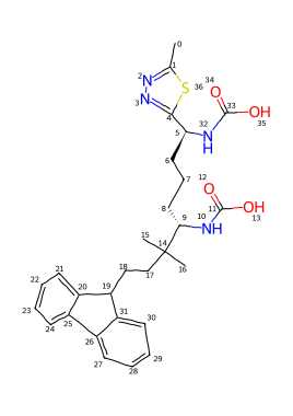 Cc1nnc([C@H](CCC[C@H](NC(=O)O)C(C)(C)CCC2c3ccccc3-c3ccccc32)NC(=O)O)s1